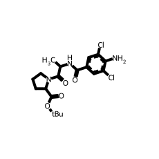 CC(NC(=O)c1cc(Cl)c(N)c(Cl)c1)C(=O)N1CCCC1C(=O)OC(C)(C)C